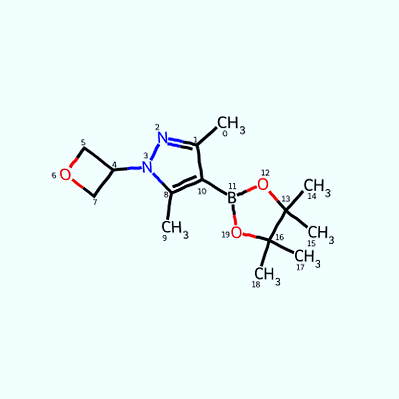 Cc1nn(C2COC2)c(C)c1B1OC(C)(C)C(C)(C)O1